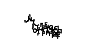 COC(C)(CCCN(C)C)C(F)(F)C(F)(F)OC(F)(Cl)C(F)(F)Cl